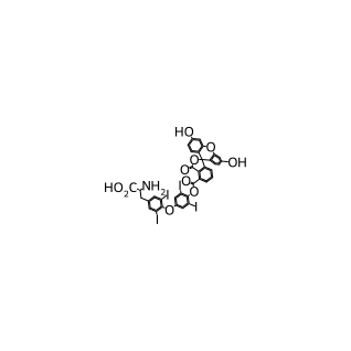 N[C@@H](Cc1cc(I)c(Oc2cc(I)c(OC(=O)c3cccc4c3C(=O)OC43c4ccc(O)cc4Oc4cc(O)ccc43)c(I)c2)c(I)c1)C(=O)O